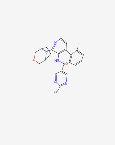 CC(C)c1ncc(C(=O)Nc2c(-c3ccccc3F)ccnc2N2C3CCC2COC3)cn1